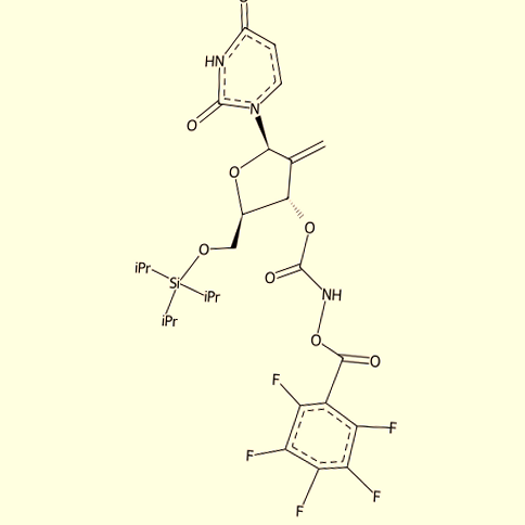 C=C1[C@H](n2ccc(=O)[nH]c2=O)O[C@H](CO[Si](C(C)C)(C(C)C)C(C)C)[C@H]1OC(=O)NOC(=O)c1c(F)c(F)c(F)c(F)c1F